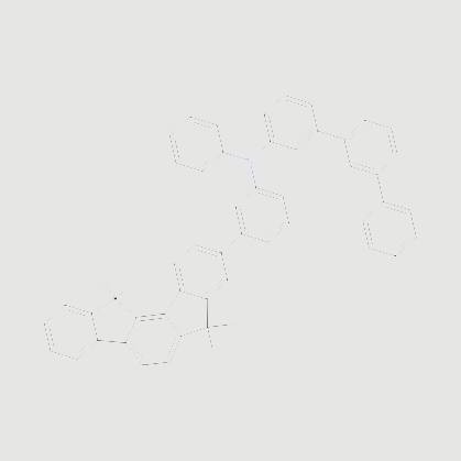 CC1(C)c2cc(-c3cccc(N(c4ccccc4)c4cccc(-c5cccc(-c6ccccc6)c5)c4)c3)ccc2-c2c1ccc1c2C(C)(C)c2ccccc2-1